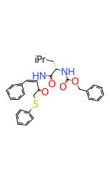 CC(C)C[C@H](NC(=O)OCc1ccccc1)C(=O)NC(=Cc1ccccc1)C(=O)CSc1ccccc1